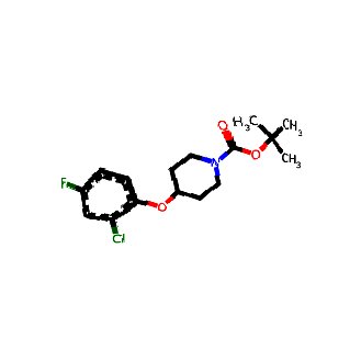 CC(C)(C)OC(=O)N1CCC(Oc2ccc(F)cc2Cl)CC1